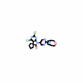 O=C1N(c2cnc(N3C4CCC3COC4)nc2)c2nc(Cl)nc(Cl)c2C12CCCC2